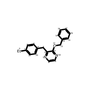 CCc1ccc(Cc2nccnc2OCc2ccccc2)cc1